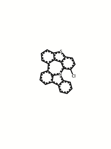 Clc1ccc2sc3cccc4c5cccc6c7ccccc7n(c1c2c34)c56